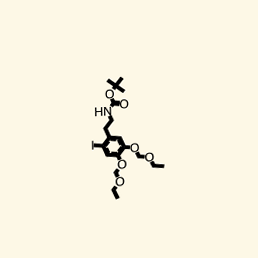 CCOCOc1cc(I)c(CCNC(=O)OC(C)(C)C)cc1OCOCC